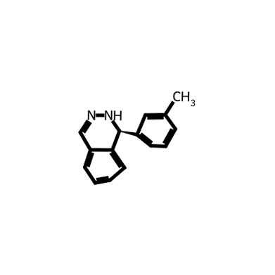 Cc1cccc([C@@H]2NN=Cc3ccccc32)c1